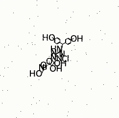 OCc1cc([C@H]2O[C@@H](n3cnc4c(NCC(c5ccc(O)cc5)c5ccc(O)cc5)nc(Cl)nc43)[C@H](O)[C@@H]2O)on1